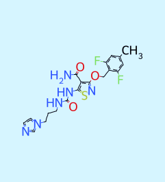 Cc1cc(F)c(COc2nsc(NC(=O)NCCCn3ccnc3)c2C(N)=O)c(F)c1